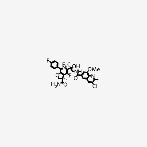 COc1cc(C(=O)NC[C@](O)(c2nc(-c3ccc(F)cc3)c3c(c2F)[C@@](C)(C(N)=O)CO3)C(F)(F)F)cc2cc(Cl)c(C)nc12